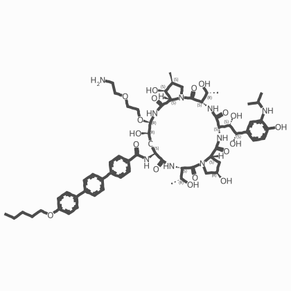 CCCCCOc1ccc(-c2ccc(-c3ccc(C(=O)N[C@H]4C[C@@H](O)[C@@H](OCCOCCN)NC(=O)[C@@H]5[C@@H](O)[C@@H](C)CN5C(=O)[C@H]([C@@H](C)O)NC(=O)[C@H]([C@H](O)[C@@H](O)c5ccc(O)c(NC(C)C)c5)NC(=O)[C@@H]5C[C@@H](O)CN5C(=O)[C@H]([C@@H](C)O)NC4=O)cc3)cc2)cc1